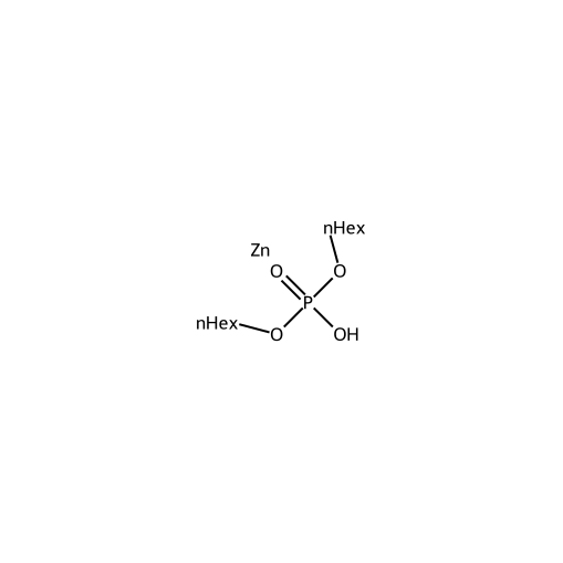 CCCCCCOP(=O)(O)OCCCCCC.[Zn]